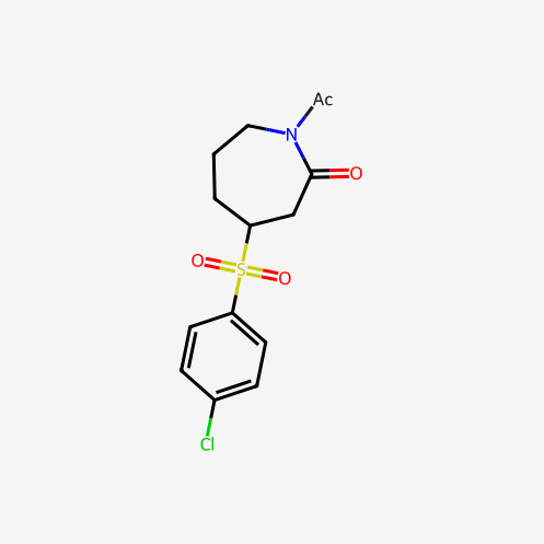 CC(=O)N1CCCC(S(=O)(=O)c2ccc(Cl)cc2)CC1=O